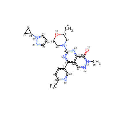 C[C@@H]1CN(c2nc(-c3ccc(C(F)(F)F)nc3)c3cnn(C)c(=O)c3n2)C[C@H](c2cnn(C3CC3)c2)O1